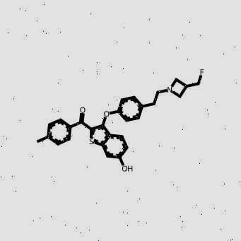 Cc1ccc(C(=O)c2sc3cc(O)ccc3c2Oc2ccc(CCN3CC(CF)C3)cc2)cc1